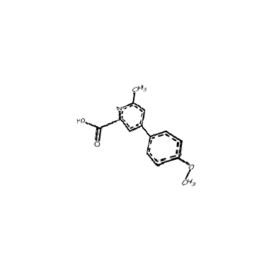 COc1ccc(-c2cc(C)nc(C(=O)O)c2)cc1